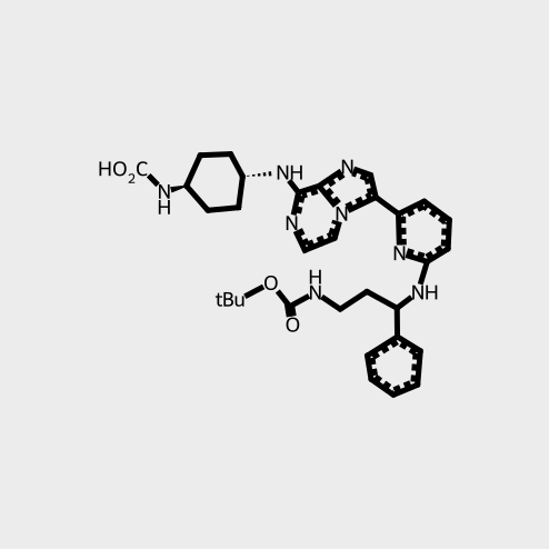 CC(C)(C)OC(=O)NCCC(Nc1cccc(-c2cnc3c(N[C@H]4CC[C@H](NC(=O)O)CC4)nccn23)n1)c1ccccc1